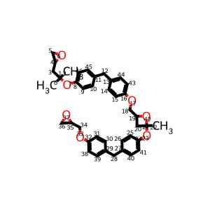 CC(C)(CC1CO1)Oc1ccc(Cc2ccc(OCC3CC(C)(Oc4ccc(Cc5ccc(OCC6CO6)cc5)cc4)O3)cc2)cc1